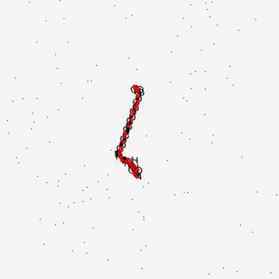 O=C(CCOCCOCCOCCOCCOCCOCCOCCOCCOCCOCCOCCOCCn1cc(-c2ccc3nc(N4CCC5(CC4)NC(=O)N(c4cccnc4)C5=O)ncc3c2)nn1)ON1C(=O)CCC1=O